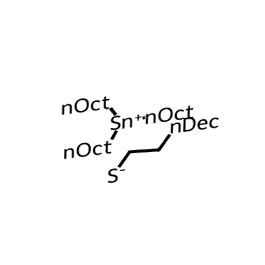 CCCCCCCCCCCC[S-].CCCCCCC[CH2][Sn+]([CH2]CCCCCCC)[CH2]CCCCCCC